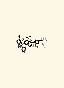 COc1cc(-c2c(-c3ccncc3)nn3c2C(=O)NCC3)cc(OC)c1OCc1ccc(C(C)C)cc1